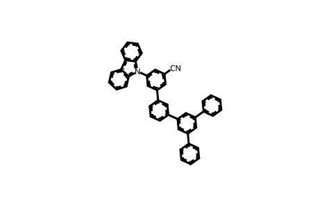 N#Cc1cc(-c2cccc(-c3cc(-c4ccccc4)cc(-c4ccccc4)c3)c2)cc(-n2c3ccccc3c3ccccc32)c1